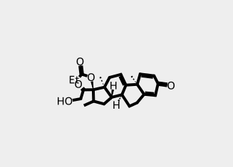 CCC(=O)O[C@]1(C(=O)CO)C(C)C[C@H]2[C@@H]3CCC4=CC(=O)C=C[C@]4(C)C3=CC[C@@]21C